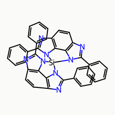 c1ccc(-c2nc3ccc4nc(-c5ccccc5)n5c4c3n2[Si]52n3c(-c4ccccc4)nc4ccc5nc(-c6ccccc6)n2c5c43)cc1